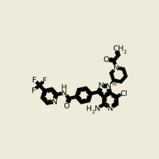 C=CC(=O)N1CCC[C@@H](n2nc(-c3ccc(C(=O)Nc4cc(C(F)(F)F)ccn4)cc3)c3c(N)ncc(Cl)c32)C1